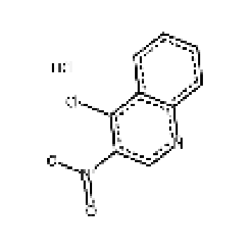 Cl.O=[N+]([O-])c1cnc2ccccc2c1Cl